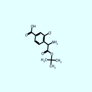 CC(C)(C)OC(=O)C(N)c1ccc(C(=O)O)cc1Cl